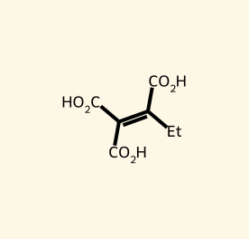 CCC(C(=O)O)=C(C(=O)O)C(=O)O